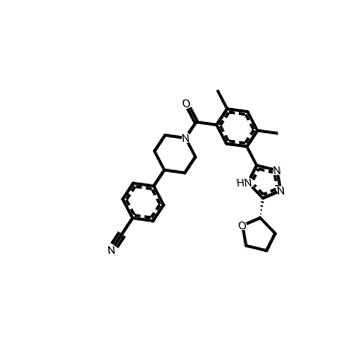 Cc1cc(C)c(-c2nnc([C@@H]3CCCO3)[nH]2)cc1C(=O)N1CCC(c2ccc(C#N)cc2)CC1